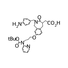 CC(C)(C)OC(=O)N(CCCOc1ccc2c(c1)CN(Cc1ccc(N)cc1)C(=O)C(CC(=O)O)C2)c1ccccn1